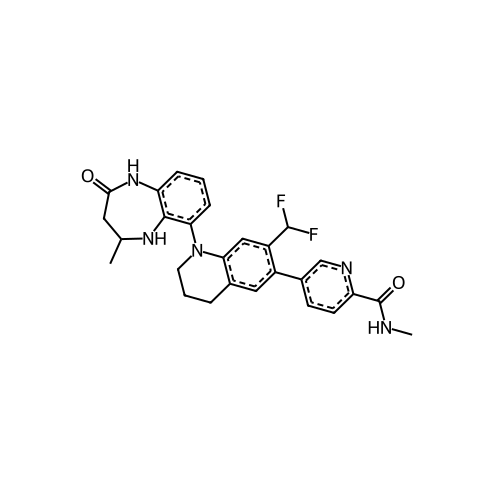 CNC(=O)c1ccc(-c2cc3c(cc2C(F)F)N(c2cccc4c2NC(C)CC(=O)N4)CCC3)cn1